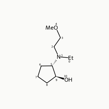 CCN(CCOC)[C@H]1CCC[C@@H]1O